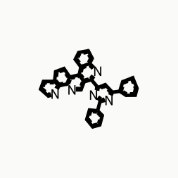 c1ccc(-c2cc(-c3nc4ccccc4c4c3cnc3c4ccc4cccnc43)nc(-c3ccccc3)n2)cc1